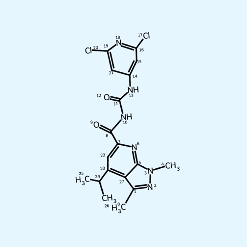 Cc1nn(C)c2nc(C(=O)NC(=O)Nc3cc(Cl)nc(Cl)c3)cc(C(C)C)c12